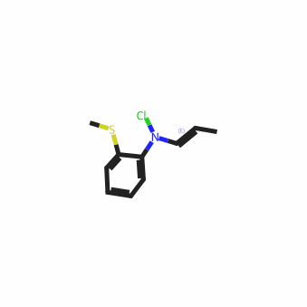 C/C=C/N(Cl)c1ccccc1SC